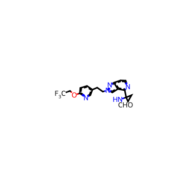 O=CNC1(c2nccc3nn(CCc4ccc(OCC(F)(F)F)nc4)cc23)CC1